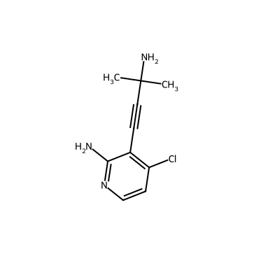 CC(C)(N)C#Cc1c(Cl)ccnc1N